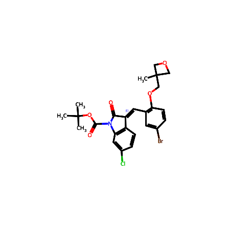 CC1(COc2ccc(Br)cc2/C=C2/C(=O)N(C(=O)OC(C)(C)C)c3cc(Cl)ccc32)COC1